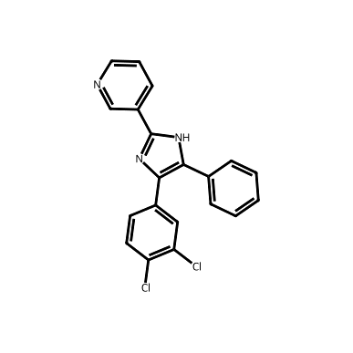 Clc1ccc(-c2nc(-c3cccnc3)[nH]c2-c2ccccc2)cc1Cl